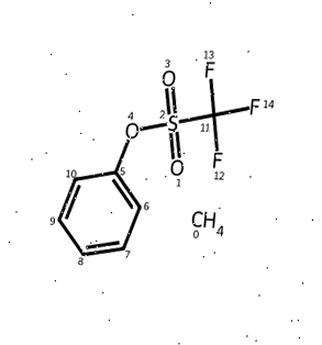 C.O=S(=O)(Oc1ccccc1)C(F)(F)F